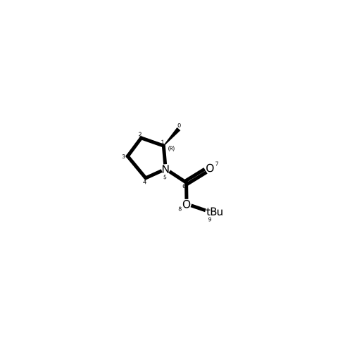 C[C@@H]1CCCN1C(=O)OC(C)(C)C